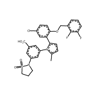 Cc1ccc(-c2cc(Cl)ccc2OCc2cccc(F)c2F)n1-c1cc(C(=O)O)cc(N2CCCS2(=O)=O)c1